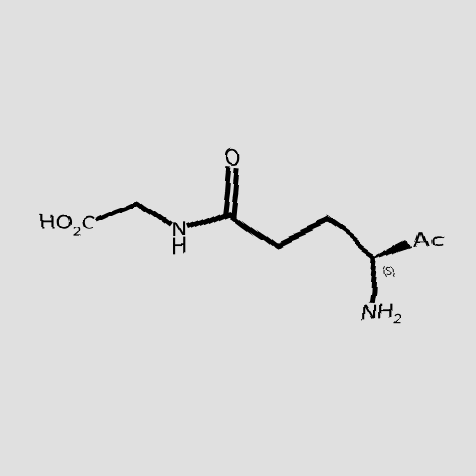 CC(=O)[C@@H](N)CCC(=O)NCC(=O)O